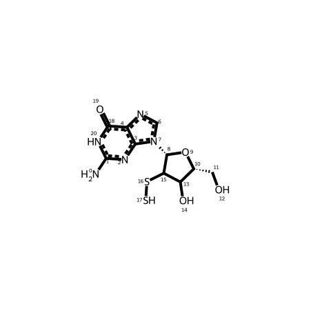 Nc1nc2c(ncn2[C@@H]2O[C@H](CO)C(O)C2SS)c(=O)[nH]1